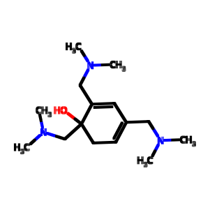 CN(C)CC1=CCC(O)(CN(C)C)C(CN(C)C)=C1